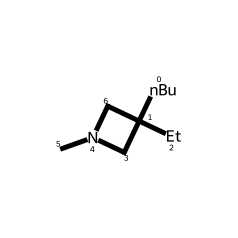 CCCCC1(CC)CN(C)C1